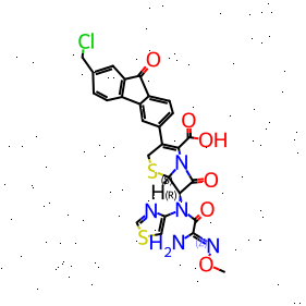 CO/N=C(\N)C(=O)N(c1cscn1)[C@@H]1C(=O)N2C(C(=O)O)=C(c3ccc4c(c3)-c3ccc(CCl)cc3C4=O)CS[C@@H]12